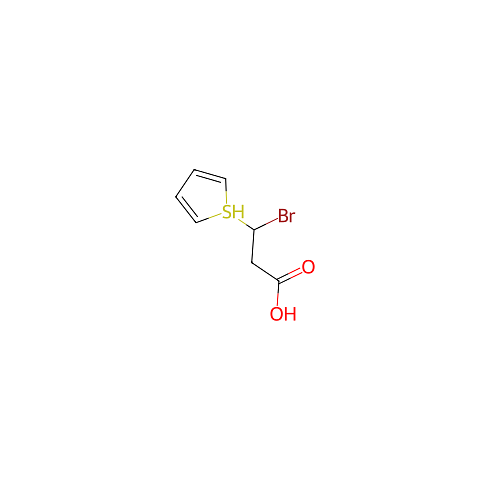 O=C(O)CC(Br)[SH]1C=CC=C1